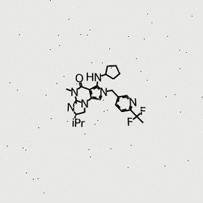 CC(C)[C@@H]1CN2C(=N1)N(C)C(=O)c1c2cn(Cc2ccc(C(C)(F)F)nc2)c1NC1CCCC1